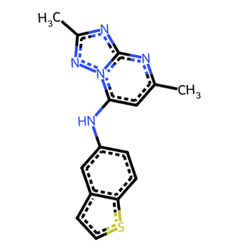 Cc1cc(Nc2ccc3sccc3c2)n2nc(C)nc2n1